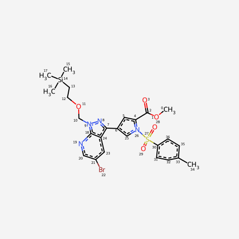 COC(=O)c1cc(-c2nn(COCC[Si](C)(C)C)c3ncc(Br)cc23)cn1S(=O)(=O)c1ccc(C)cc1